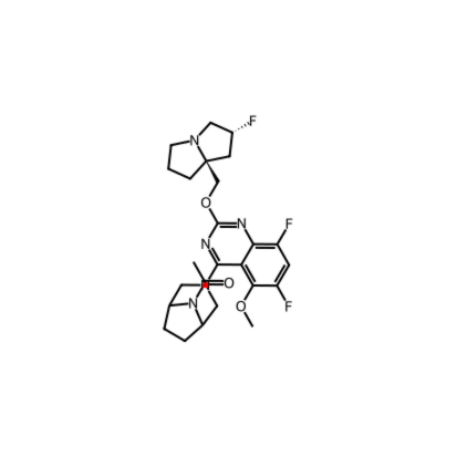 COc1c(F)cc(F)c2nc(OC[C@@]34CCCN3C[C@H](F)C4)nc(N3CC4CCC(C3)N4C(C)=O)c12